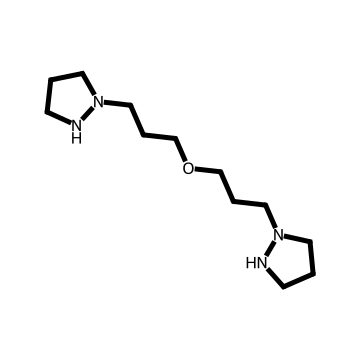 C1CNN(CCCOCCCN2CCCN2)C1